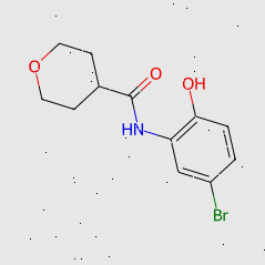 O=C(Nc1cc(Br)ccc1O)C1CCOCC1